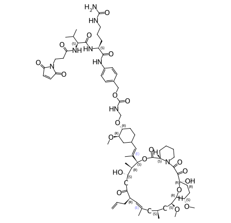 C=CC[C@@H]1/C=C(\C)C[C@H](C)C[C@H](OC)[C@H]2O[C@@](O)(C(=O)C(=O)N3CCCC[C@H]3C(=O)O[C@H](/C(C)=C/C3CC[C@@H](OCNC(=O)OCc4ccc(NC(=O)[C@H](CCCNC(N)=O)NC(=O)[C@@H](NC(=O)CCN5C(=O)C=CC5=O)C(C)C)cc4)[C@H](OC)C3)[C@H](C)[C@@H](O)CC1=O)[C@H](C)C[C@@H]2OC